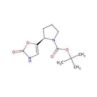 CC(C)(C)OC(=O)N1CCC[C@@H]1c1c[nH]c(=O)o1